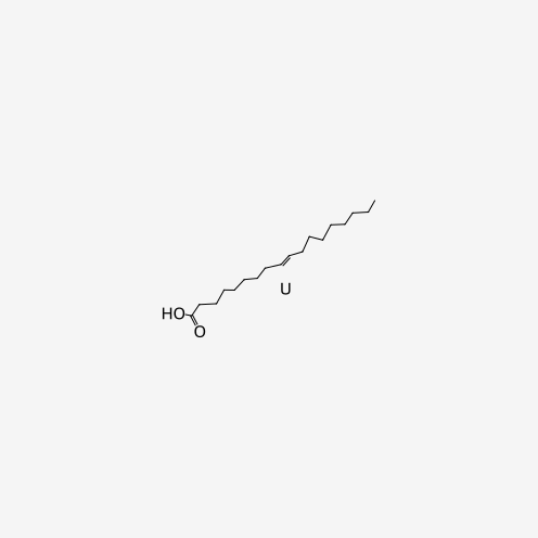 CCCCCCCCC=CCCCCCCCC(=O)O.[U]